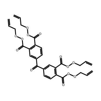 C=CCOOC(=O)c1ccc(C(=O)c2ccc(C(=O)OOCC=C)c(C(=O)OOCC=C)c2)cc1C(=O)OOCC=C